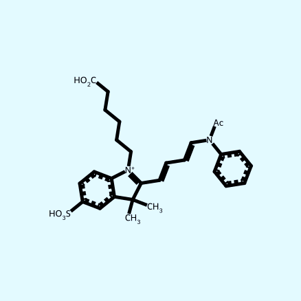 CC(=O)N(/C=C/C=C/C1=[N+](CCCCCC(=O)O)c2ccc(S(=O)(=O)O)cc2C1(C)C)c1ccccc1